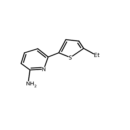 CCc1ccc(-c2cccc(N)n2)s1